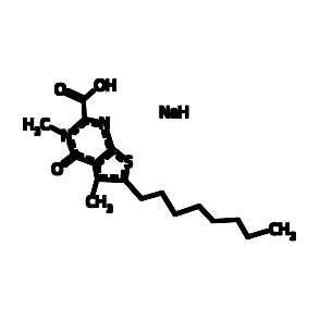 CCCCCCCCc1sc2nc(C(=O)O)n(C)c(=O)c2c1C.[NaH]